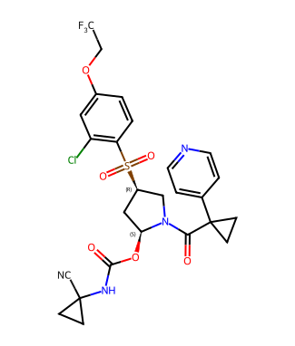 N#CC1(NC(=O)O[C@H]2C[C@@H](S(=O)(=O)c3ccc(OCC(F)(F)F)cc3Cl)CN2C(=O)C2(c3ccncc3)CC2)CC1